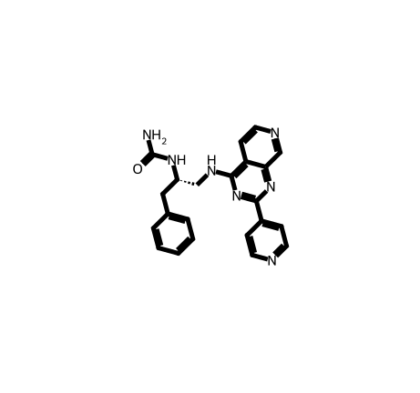 NC(=O)N[C@H](CNc1nc(-c2ccncc2)nc2cnccc12)Cc1ccccc1